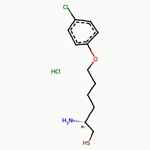 Cl.N[C@@H](CS)CCCCOc1ccc(Cl)cc1